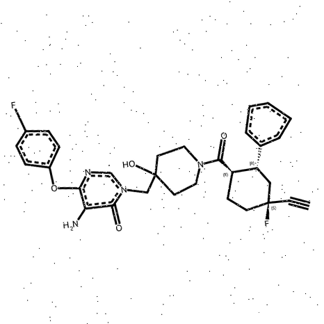 C#C[C@]1(F)CC[C@@H](C(=O)N2CCC(O)(Cn3cnc(Oc4ccc(F)cc4)c(N)c3=O)CC2)[C@H](c2ccccc2)C1